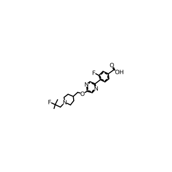 CC(C)(F)CN1CCC(COc2cnc(-c3ccc(C(=O)O)cc3F)cn2)CC1